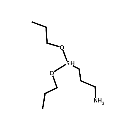 CCCO[SiH](CCCN)OCCC